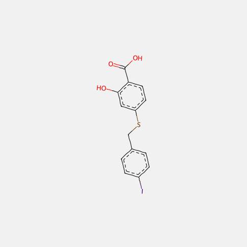 O=C(O)c1ccc(SCc2ccc(I)cc2)cc1O